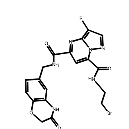 O=C1COc2ccc(CNC(=O)c3cc(C(=O)NCCBr)n4ncc(F)c4n3)cc2N1